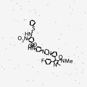 CNC(=O)c1c(-c2cccc(N3CCN(c4ccc(NS(=O)(=O)c5ccc(NCCSc6ccccc6)c([N+](=O)[O-])c5)cc4)CC3)c2)c(-c2ccc(F)cc2)n(C)c1C